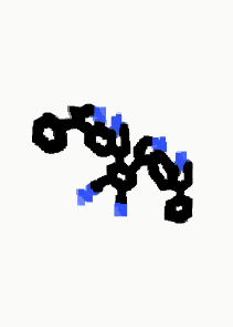 N#Cc1cc(-c2ccnc3c2ccc2c(-c4ccccc4)ccnc23)c(-c2ccnc3c2ccc2c(-c4ccccc4)ccnc23)cc1C#N